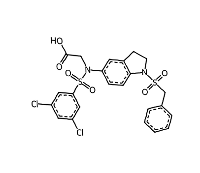 O=C(O)CN(c1ccc2c(c1)CCN2S(=O)(=O)Cc1ccccc1)S(=O)(=O)c1cc(Cl)cc(Cl)c1